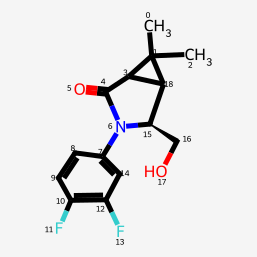 CC1(C)C2C(=O)N(c3ccc(F)c(F)c3)[C@H](CO)C21